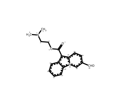 CN(C)CCOC(=O)c1c2ccccc2n2cc(C=O)ccc12